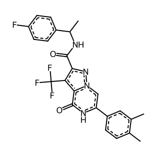 Cc1ccc(-c2cn3nc(C(=O)NC(C)c4ccc(F)cc4)c(C(F)(F)F)c3c(=O)[nH]2)cc1C